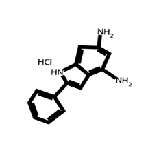 Cl.Nc1cc(N)c2cc(-c3ccccc3)[nH]c2c1